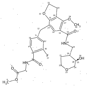 COC(=O)CNC(=O)c1ccc(Cc2cc(C(=O)NCC3CCOC[C@@H]3O)c(OC)c3c2OCC3)cc1F